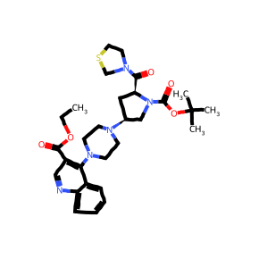 CCOC(=O)c1cnc2ccccc2c1N1CCN([C@H]2C[C@@H](C(=O)N3CCSC3)N(C(=O)OC(C)(C)C)C2)CC1